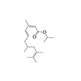 CC(C=CCC(C)CC(C)=C(C)C)=CC(=O)OC(C)C